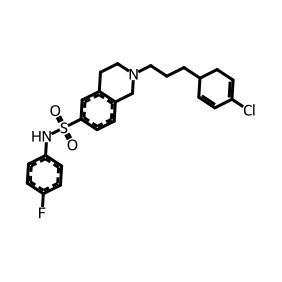 O=S(=O)(Nc1ccc(F)cc1)c1ccc2c(c1)CCN(CCCC1C=CC(Cl)=CC1)C2